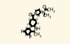 CC(=O)N(C)[C@H]1CCN(C(=O)C2=CC=C(N[C@@H](C)c3ccc(F)cc3F)C=C=C2)C1